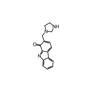 O=C1C(CN2CCNC2)=CC=C2C1=Nc1ccccc12